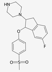 CS(=O)(=O)c1ccc(OC2c3cc(F)ccc3CC2N2CCNCC2)cc1